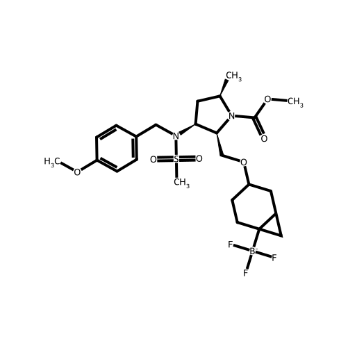 COC(=O)N1[C@H](C)C[C@H](N(Cc2ccc(OC)cc2)S(C)(=O)=O)[C@@H]1COC1CCC2([B-](F)(F)F)CC2C1